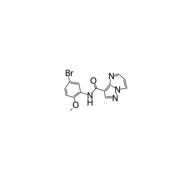 COc1ccc(Br)cc1NC(=O)c1cnn2cccnc12